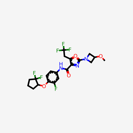 COC1CN(c2nc(C(=O)Nc3ccc(OC4CCCC4(F)F)c(F)c3)c(CC(F)(F)F)o2)C1